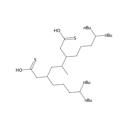 CCCCC(CCCC)CCCC(CC(O)=S)CC(C)C(CCCC(CCCC)CCCC)CC(O)=S